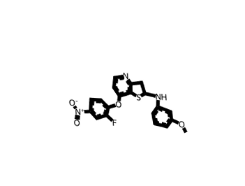 COc1cccc(NC2Cc3nccc(Oc4ccc([N+](=O)[O-])cc4F)c3S2)c1